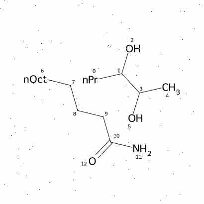 CCCC(O)C(C)O.CCCCCCCCCCCC(N)=O